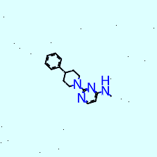 CNc1ccnc(N2CCC(c3ccccc3)CC2)n1